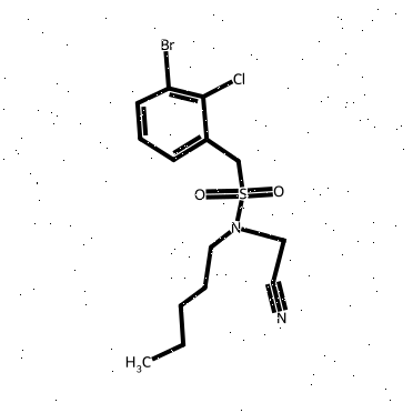 CCCCCN(CC#N)S(=O)(=O)Cc1cccc(Br)c1Cl